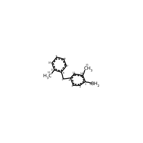 Bc1ccc(Cc2ccccc2C)cc1C